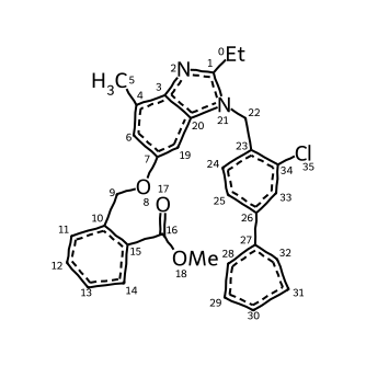 CCc1nc2c(C)cc(OCc3ccccc3C(=O)OC)cc2n1Cc1ccc(-c2ccccc2)cc1Cl